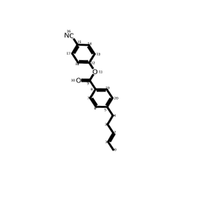 C/C=C/CCc1ccc(C(=O)Oc2ccc(C#N)cc2)cc1